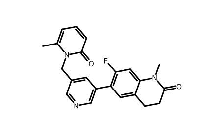 Cc1cccc(=O)n1Cc1cncc(-c2cc3c(cc2F)N(C)C(=O)CC3)c1